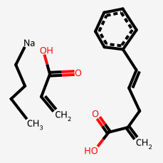 C=C(CC=Cc1ccccc1)C(=O)O.C=CC(=O)O.CCC[CH2][Na]